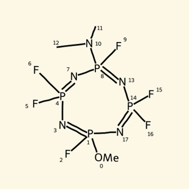 COP1(F)=NP(F)(F)=NP(F)(N(C)C)=NP(F)(F)=N1